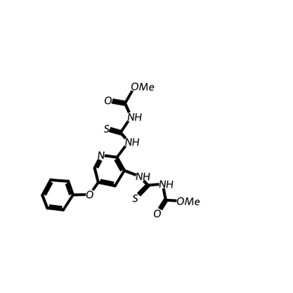 COC(=O)NC(=S)Nc1cc(Oc2ccccc2)cnc1NC(=S)NC(=O)OC